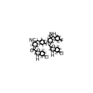 N#CC1(Cc2ccc(F)cc2)CCN(C(=O)C2CNc3cc(Cl)ccc3O2)CC1.NCC1(Cc2ccc(F)cc2)CCN(CC2CNc3cc(Cl)ccc3O2)CC1